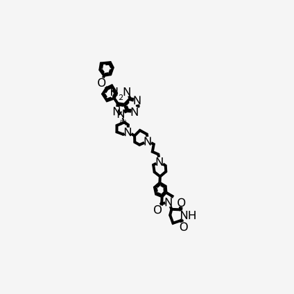 Nc1ncnc2c1c(-c1ccc(Oc3ccccc3)cc1)nn2[C@@H]1CCCN(C2CCN(CCCN3CCC(c4ccc5c(c4)CN(C4CCC(=O)NC4=O)C5=O)CC3)CC2)C1